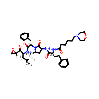 CC(C)CC(NC(=O)[C@H](Cc1ccccc1)N1C(=O)C(NC(=O)[C@H](CCc2ccccc2)NC(=O)CCCCCN2CCOCC2)CC1C)C(=O)C1(C)CO1